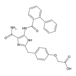 NC(=O)c1nc(Cc2ccc(OCC(=O)O)cc2)[nH]c1NC(=O)c1ccccc1-c1ccccc1